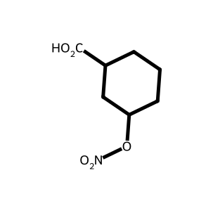 O=C(O)C1CCCC(O[N+](=O)[O-])C1